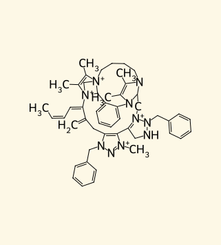 C=C1Cc2c([n+](C)nn2Cc2ccccc2)C2=[N+](CC3N4CCCC[N+]56C[N+](C(C)=C5C)(/C1=C/C=C\C)C6c1ccccc1N3C(C)=C4C)N(Cc1ccccc1)NC2